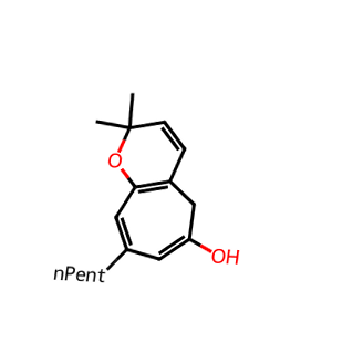 CCCCCC1=CC2=C(C=CC(C)(C)O2)CC(O)=C1